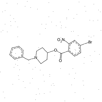 O=C(OC1CCN(Cc2ccccc2)CC1)c1ccc(Br)cc1[N+](=O)[O-]